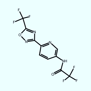 O=C(Nc1ccc(-c2noc(C(F)(F)F)n2)nc1)C(F)(F)F